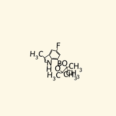 Cc1c[nH]c2c(B3OC(C)(C)C(C)(C)O3)cc(F)cc12